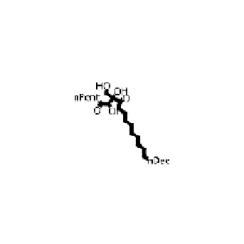 CCCCCCCCCCCCCCCCCCCC(=O)C(O)(CO)C(O)C(=O)CCCCC